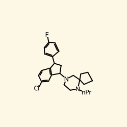 CCCN1CCN(C2CC(c3ccc(F)cc3)c3ccc(Cl)cc32)CC12CCCC2